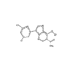 CCOc1c(C(=O)OC)cnn2c(-c3cc(Cl)cc(Cl)c3)cnc12